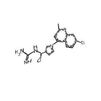 Cc1cc(-n2ccc(C(=O)NC(=N)N)c2)c2ccc(Cl)cc2n1